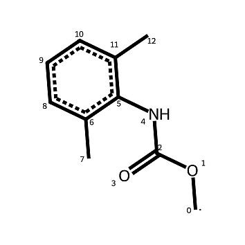 [CH2]OC(=O)Nc1c(C)cccc1C